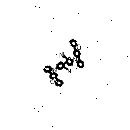 N#Cc1cc(-n2c3ccccc3c3cc4oc5ccccc5c4cc32)ccc1-c1ccc(-n2c3ccccc3c3cc4oc5ccccc5c4cc32)cc1C#N